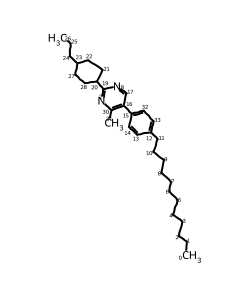 CCCCCCCCCCCCc1ccc(-c2cnc(C3CCC(CCC)CC3)nc2C)cc1